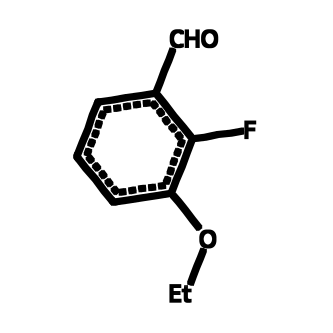 CCOc1cccc(C=O)c1F